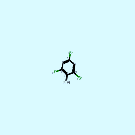 N#Cc1c(F)cc(Br)cc1Br